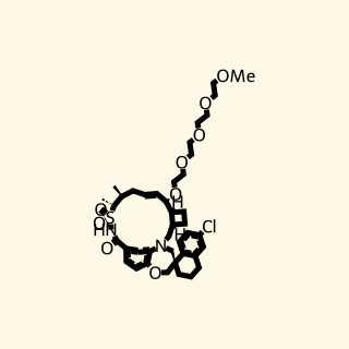 COCCOCCOCCOCCO[C@H]1/C=C/C[C@H](C)[C@@H](C)S(=O)(=O)NC(=O)c2ccc3c(c2)N(C[C@@H]2CC[C@H]21)C[C@@]1(CCCc2cc(Cl)ccc21)CO3